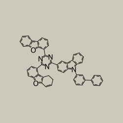 C1=Cc2oc3cccc(-c4nc(-c5ccc6c(c5)c5ccccc5n6-c5cccc(-c6ccccc6)c5)nc(-c5cccc6c5oc5ccccc56)n4)c3c2CC1